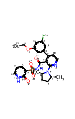 C[C@@H]1CC[C@H](C)N1c1nccc(-c2cc(F)cc(OCC(C)(C)C)c2)c1C(=O)NS(=O)(=O)c1ccc[nH]c1=O